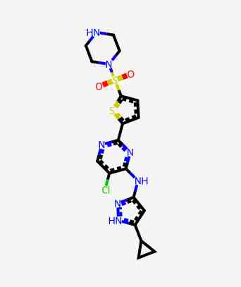 O=S(=O)(c1ccc(-c2ncc(Cl)c(Nc3cc(C4CC4)[nH]n3)n2)s1)N1CCNCC1